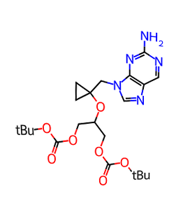 CC(C)(C)OC(=O)OCC(COC(=O)OC(C)(C)C)OC1(Cn2cnc3cnc(N)nc32)CC1